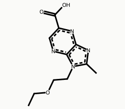 CCOCCn1c(C)nc2nc(C(=O)O)cnc21